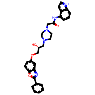 O=C(CN1CCN(C[C@@H](O)COc2ccc3oc(-c4ccccc4)nc3c2)CC1)Nc1cccc2[nH]ccc12